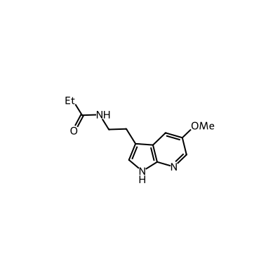 CCC(=O)NCCc1c[nH]c2ncc(OC)cc12